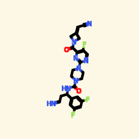 N#CC=C1CN(C(=O)c2nc(N3CCN(C(=O)NC(CC=N)c4cc(F)cc(F)c4)CC3)ncc2F)C1